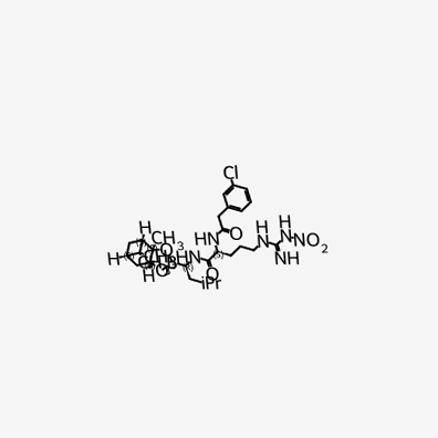 CC(C)C[C@H](NC(=O)[C@H](CCCNC(=N)N[N+](=O)[O-])NC(=O)Cc1cccc(Cl)c1)B1O[C@@H]2C[C@@H]3C[C@@H](C3(C)C)[C@]2(C)O1